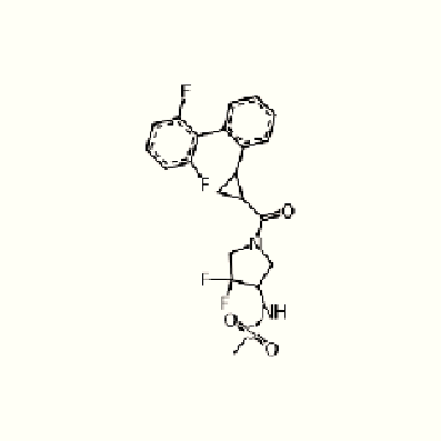 CS(=O)(=O)NC1CN(C(=O)C2CC2c2ccccc2-c2c(F)cccc2F)CC1(F)F